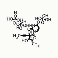 CC#C[C@@]1(O)[C@H](O)[C@@H](C)O[C@H]1n1ccc(=O)[nH]c1=O.O=P(O)(O)O.O=P(O)(O)O.O=P(O)(O)O